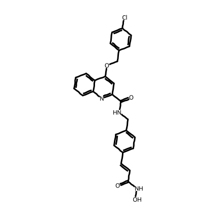 O=C(/C=C/c1ccc(CNC(=O)c2cc(OCc3ccc(Cl)cc3)c3ccccc3n2)cc1)NO